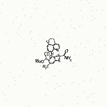 Cc1cc2nc(C(N)=O)sc2c(-c2ccc3c4c(ccnc24)CCO3)c1C(OC(C)(C)C)C(=O)O